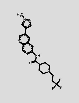 Cn1cc(-c2cnc3cnc(NC(=O)C4CCN(CCC(F)(F)F)CC4)cc3c2)cn1